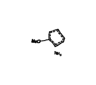 COc1ccccc1.N